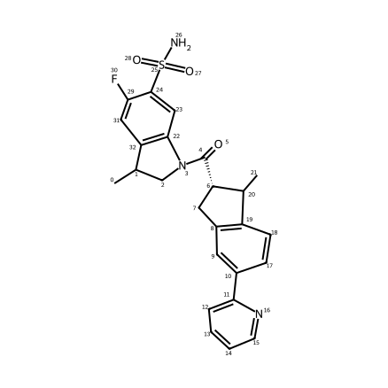 CC1CN(C(=O)[C@H]2Cc3cc(-c4ccccn4)ccc3C2C)c2cc(S(N)(=O)=O)c(F)cc21